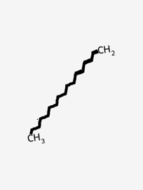 C=C/C=C/C=C/CCCCCCC[CH]CCC